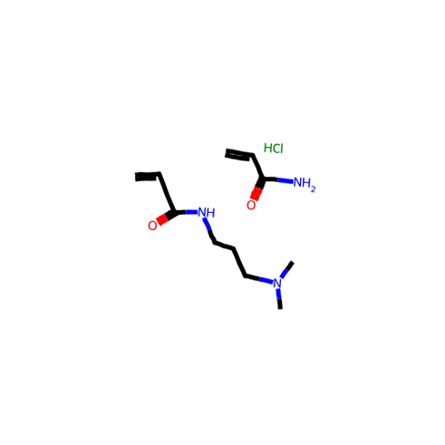 C=CC(=O)NCCCN(C)C.C=CC(N)=O.Cl